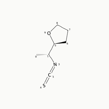 C[C@@H](N=C=S)[C@@H]1CCCO1